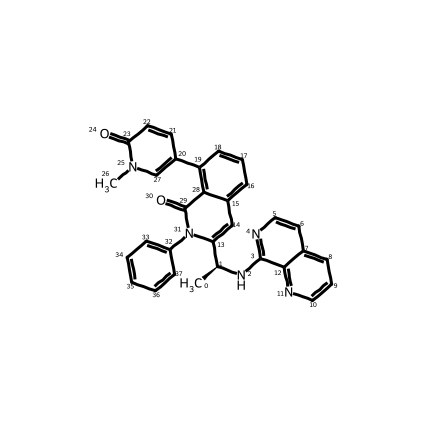 C[C@H](Nc1nccc2cccnc12)c1cc2cccc(-c3ccc(=O)n(C)c3)c2c(=O)n1-c1ccccc1